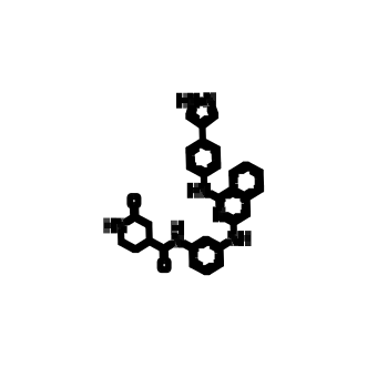 O=C1CC(C(=O)Nc2cccc(Nc3cc4ccccc4c(Nc4ccc(-c5cn[nH]c5)cc4)n3)c2)CCN1